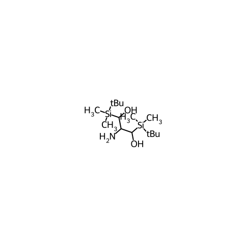 CC(C)(C)[Si](C)(C)C(O)C(N)C(O)[Si](C)(C)C(C)(C)C